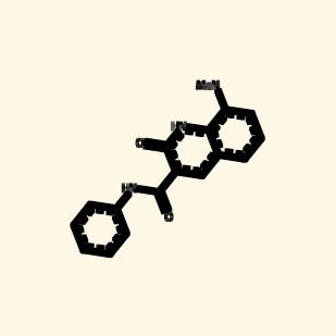 CNc1cccc2cc(C(=O)Nc3ccccc3)c(=O)[nH]c12